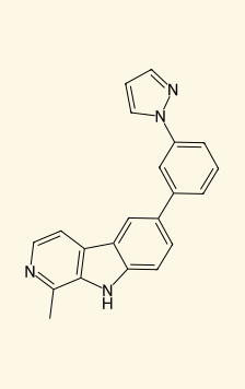 Cc1nccc2c1[nH]c1ccc(-c3cccc(-n4cccn4)c3)cc12